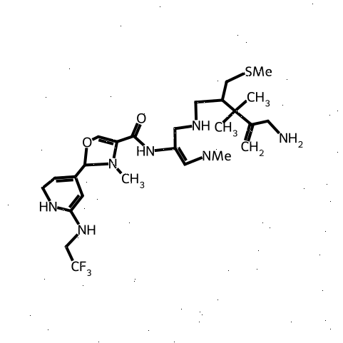 C=C(CN)C(C)(C)C(CNC/C(=C\NC)NC(=O)C1=COC(C2=CCNC(NCC(F)(F)F)=C2)N1C)CSC